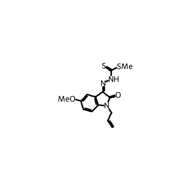 C=CCN1C(=O)C(=NNC(=S)SC)c2cc(OC)ccc21